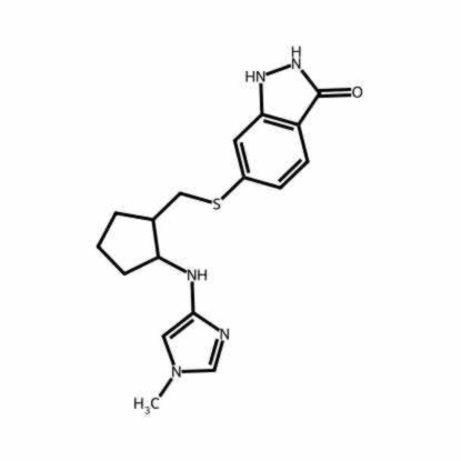 Cn1cnc(NC2CCCC2CSc2ccc3c(=O)[nH][nH]c3c2)c1